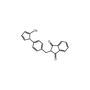 N#Cc1cccn1-c1ccc(CN2C(=O)c3ccccc3C2=O)cc1